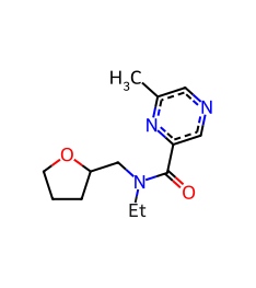 CCN(CC1CCCO1)C(=O)c1cncc(C)n1